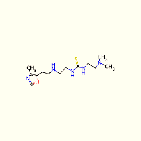 Cc1ncoc1CCNCCNC(=S)NCCN(C)C